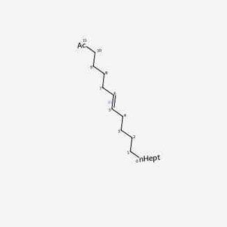 CCCCCCCCCCC/C=C/CCCCC(C)=O